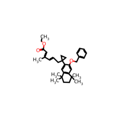 CCOC(=O)C=C(C)C=CCC1(c2cc3c(cc2OCc2ccccc2)C(C)(C)CCC3(C)C)CC1